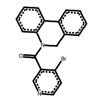 O=C(c1cnccc1Br)N1Cc2ccccc2-c2ccccc21